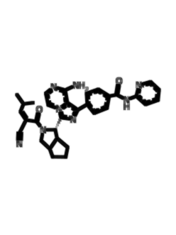 CC(C)/C=C(/C#N)C(=O)N1CC2CCCC2[C@H]1c1nc(-c2ccc(C(=O)Nc3ccccn3)cc2)c2c(N)nccn12